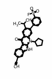 C#Cc1ccc2c(c1)[nH]c1c2c(=O)c2cc(C(C)C)c(-c3cccc(S(=O)(=O)F)c3)cc2n1C1CCCC1